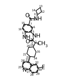 CC(C(=O)Nc1cc(C(=O)NC2CCC2)ccc1N)C1CCC(c2ccnc3ccc(F)cc23)CC1